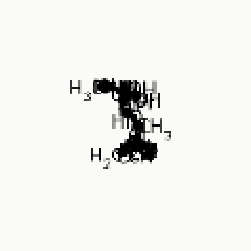 C=CC(=O)N1CCN(c2nc(OC[C@@H]3C[C@@H](NC(=O)C4CCN(Cc5ccc(-n6c(C(=O)NCCN7CCN(C)CC7)nnc6-c6cc(C(C)C)c(O)cc6O)cc5)CC4)CN3C)nc3c2CCN(c2cccc4cccc(Cl)c24)C3)C[C@@H]1CC#N